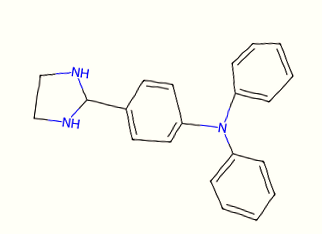 c1ccc(N(c2ccccc2)c2ccc(C3NCCN3)cc2)cc1